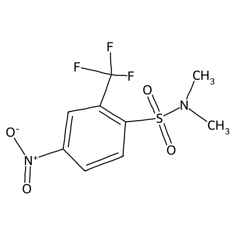 CN(C)S(=O)(=O)c1ccc([N+](=O)[O-])cc1C(F)(F)F